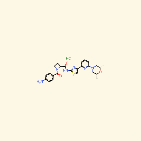 C[C@@H]1CN(c2cccc(-c3csc(NC(=O)C4CCN4C(=O)c4ccc(N)cc4)n3)n2)C[C@H](C)O1.Cl